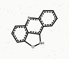 c1ccc2c3c4c(cccc4nc2c1)ON3